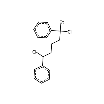 CCC(Cl)(CCCC(Cl)c1ccccc1)c1ccccc1